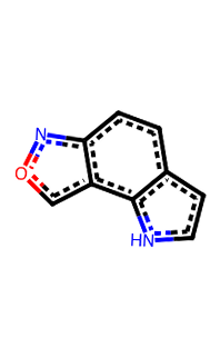 c1cc2ccc3nocc3c2[nH]1